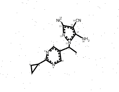 CC(c1cnc(C2CC2)nc1)n1nc(C#N)c(C#N)c1N